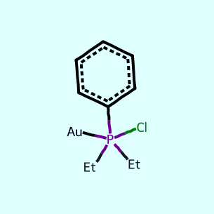 CC[P](Cl)([Au])(CC)c1ccccc1